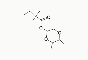 CCC(C)(C)C(=O)OC1COC(C)C(C)O1